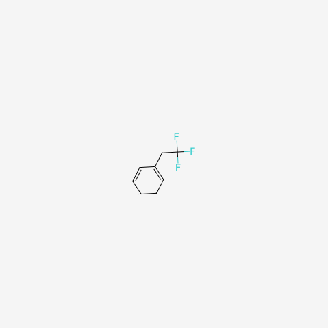 FC(F)(F)CC1=CC[CH]C=C1